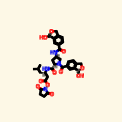 CC(C)C[C@@H](CC(=O)ON1C(=O)CCC1=O)NC(=O)[C@@H]1C[C@@H](NC(=O)c2ccc3c(c2)B(O)OC3)CN1C(=O)c1ccc2c(c1)B(O)OC2